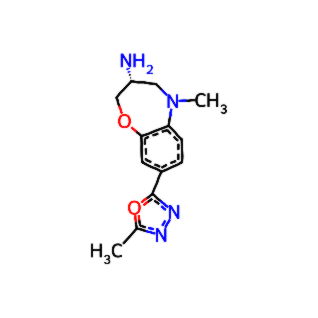 Cc1nnc(-c2ccc3c(c2)OC[C@H](N)CN3C)o1